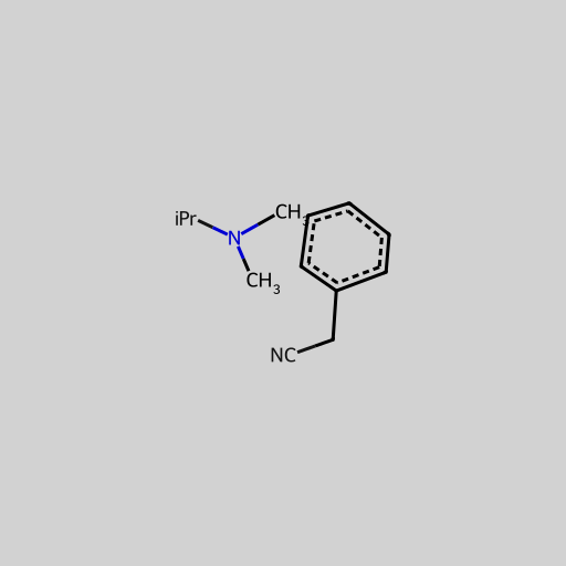 CC(C)N(C)C.N#CCc1ccccc1